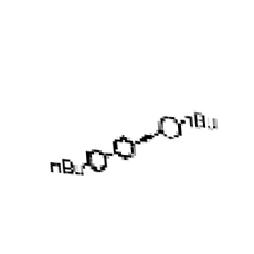 CCCCc1ccc(-c2ccc(C#CC3CCC(CCCC)CC3)cc2)cc1